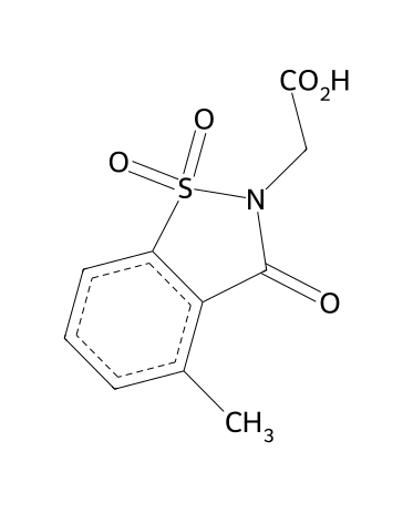 Cc1cccc2c1C(=O)N(CC(=O)O)S2(=O)=O